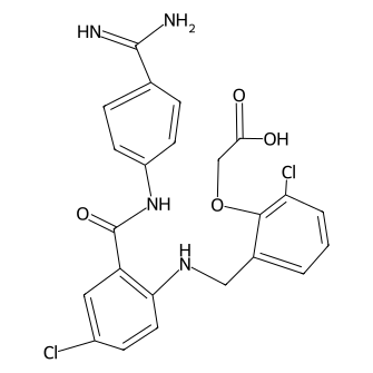 N=C(N)c1ccc(NC(=O)c2cc(Cl)ccc2NCc2cccc(Cl)c2OCC(=O)O)cc1